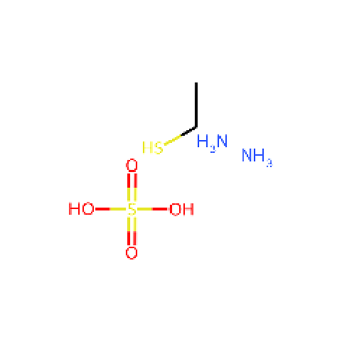 CCS.N.N.O=S(=O)(O)O